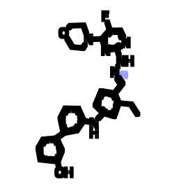 CCc1cc(Nc2cccc(-c3cccc(O)c3)c2)ccc1/C=N/Nc1ncc(F)c(N2CCOCC2)n1